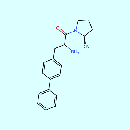 N#C[C@@H]1CCCN1C(=O)C(N)Cc1ccc(-c2ccccc2)cc1